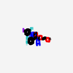 COCCONC(=O)c1ccc(F)c(F)c1Nc1ccc(I)cc1F